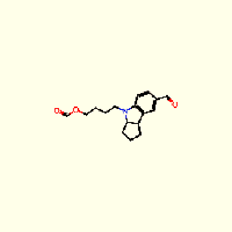 O=COCCCCN1c2ccc(C=O)cc2C2CCCC21